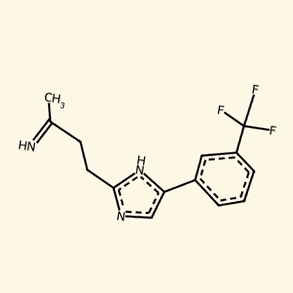 CC(=N)CCc1ncc(-c2cccc(C(F)(F)F)c2)[nH]1